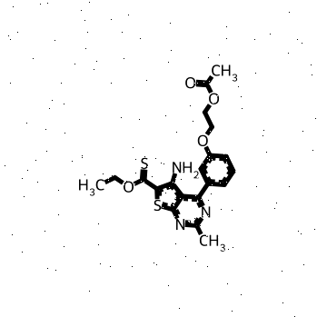 CCOC(=S)c1sc2nc(C)nc(-c3cccc(OCCOC(C)=O)c3)c2c1N